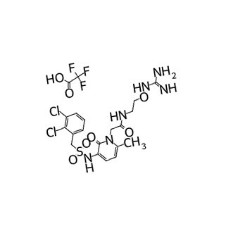 Cc1ccc(NS(=O)(=O)Cc2cccc(Cl)c2Cl)c(=O)n1CC(=O)NCCONC(=N)N.O=C(O)C(F)(F)F